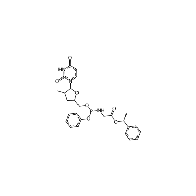 CC1CC(COP(NCC(=O)O[C@@H](C)c2ccccc2)Oc2ccccc2)OC1n1ccc(=O)[nH]c1=O